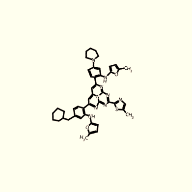 Cc1ccc(Nc2cc(N3CCCCC3)ccc2C2=CC3=CC(c4ccc(CC5CCCCC5)cc4Nc4ccc(C)o4)=NC4=NC(c5ncc(C)s5)=NC(=N2)N34)o1